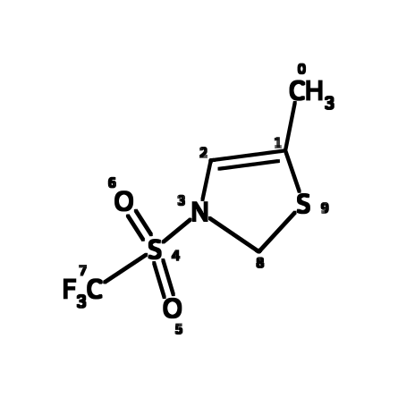 CC1=CN(S(=O)(=O)C(F)(F)F)CS1